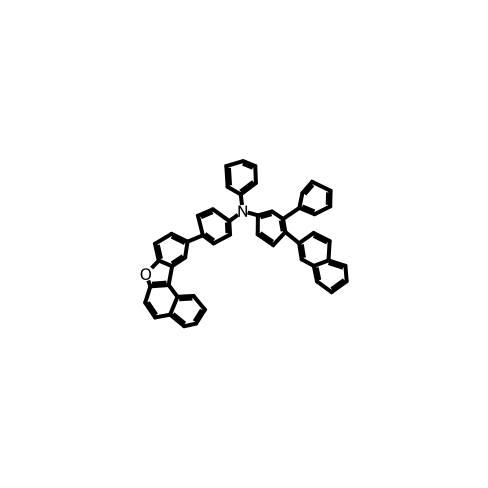 c1ccc(-c2cc(N(c3ccccc3)c3ccc(-c4ccc5oc6ccc7ccccc7c6c5c4)cc3)ccc2-c2ccc3ccccc3c2)cc1